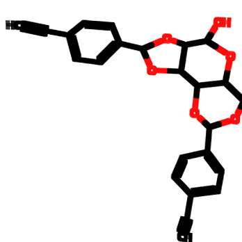 C#Cc1ccc(C2OCC3OC(O)C4OC(c5ccc(C#C)cc5)OC4C3O2)cc1